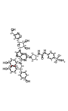 NS(=O)(=O)c1ccc(NC(=O)N[C@@H]2CCN(c3nc(N(CC(c4ccc(O)cc4)c4ccc(O)cc4)c4ccc(O)cc4)c4ncn([C@@H]5O[C@H](c6cc(CO)no6)[C@@H](O)[C@H]5O)c4n3)C2)cc1